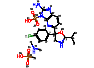 CC(C)C1NCC(c2ccc(F)cc2)(c2ccc3nc(N)n(S(=O)(=O)O)c3n2)O1.CNC.CS(=O)(=O)O